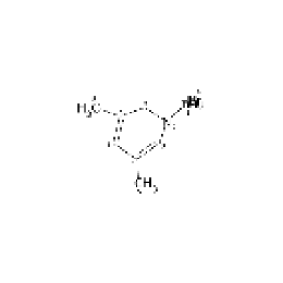 Br.CCCCN1C=C(C)C=C(C)C1